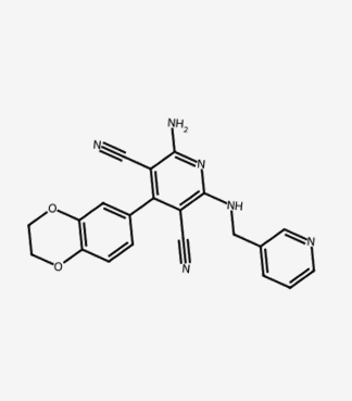 N#Cc1c(N)nc(NCc2cccnc2)c(C#N)c1-c1ccc2c(c1)OCCO2